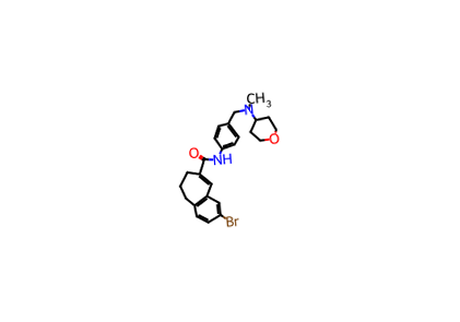 CN(Cc1ccc(NC(=O)C2=Cc3cc(Br)ccc3CCC2)cc1)C1CCOCC1